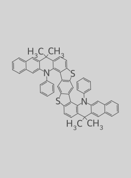 CC1(C)c2cc3ccccc3cc2N(c2ccccc2)c2c1ccc1sc3cc4c(cc3c21)sc1ccc2c(c14)N(c1ccccc1)c1cc3ccccc3cc1C2(C)C